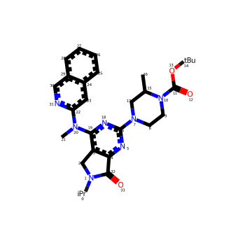 CC(C)N1Cc2c(nc(N3CCN(C(=O)OC(C)(C)C)C(C)C3)nc2N(C)c2cc3ccccc3cn2)C1=O